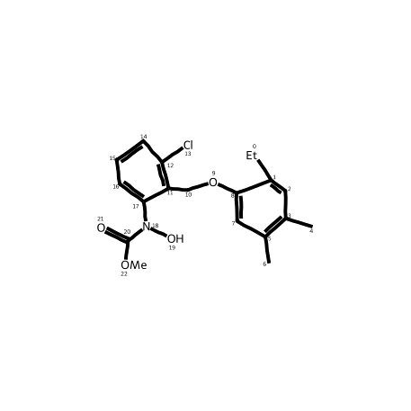 CCc1cc(C)c(C)cc1OCc1c(Cl)cccc1N(O)C(=O)OC